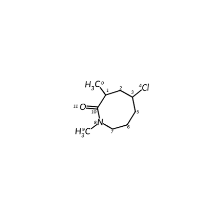 CC1CC(Cl)CCCN(C)C1=O